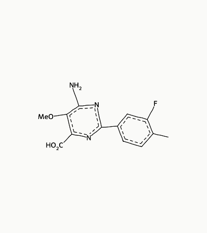 COc1c(N)nc(-c2ccc(C)c(F)c2)nc1C(=O)O